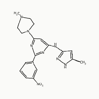 Cc1cc(Nc2cc(N3CCN(C)CC3)nc(-c3cccc([N+](=O)[O-])c3)n2)n[nH]1